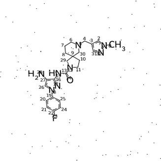 Cn1cc(CN2CCCC3(CCN(C(=O)Nc4nn(-c5ccc(F)cc5)cc4N)C3)C2)cn1